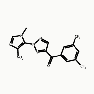 Cn1cnc([N+](=O)[O-])c1-n1ncc(C(=O)c2cc(C(F)(F)F)cc(C(F)(F)F)c2)n1